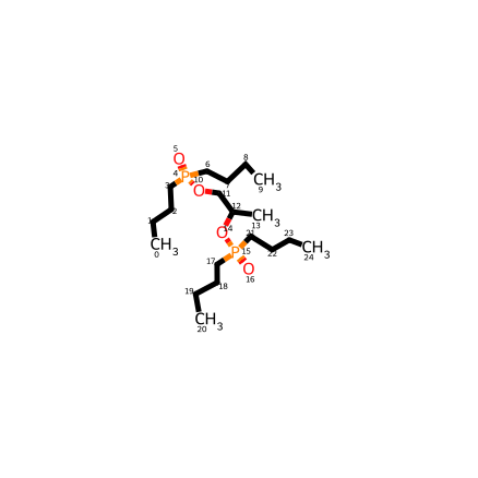 CCCCP(=O)(CCCC)OCC(C)OP(=O)(CCCC)CCCC